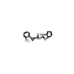 O=C(Nc1nc2ccccc2[nH]1)C1CC1c1ccccc1C(F)(F)F